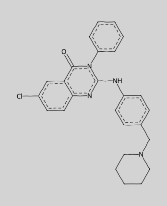 O=c1c2cc(Cl)ccc2nc(Nc2ccc(CN3CCCCC3)cc2)n1-c1ccccc1